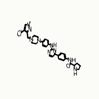 Cn1cc(Cl)c(CN2CCN(c3ccc(Nc4nccc(-c5ccc(NC(=O)C6CCCN6)cc5)n4)cc3)CC2)n1